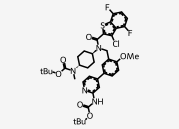 COc1ccc(-c2ccnc(NC(=O)OC(C)(C)C)c2)cc1CN(C(=O)c1sc2c(F)ccc(F)c2c1Cl)[C@H]1CC[C@H](N(C)C(=O)OC(C)(C)C)CC1